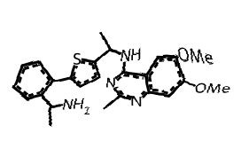 COc1cc2nc(C)nc(NC(C)c3ccc(-c4ccccc4C(C)N)s3)c2cc1OC